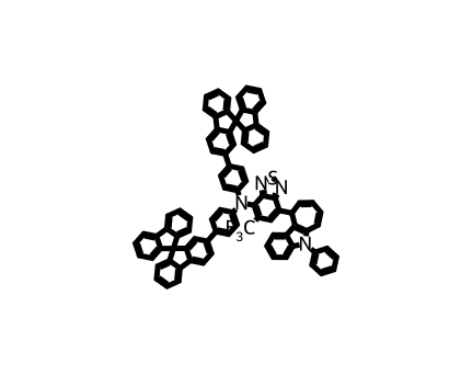 FC(F)(F)c1cc(C2C=CC=Cc3c2c2ccccc2n3-c2ccccc2)c2nsnc2c1N(c1ccc(-c2ccc3c(c2)C2(c4ccccc4-c4ccccc42)c2ccccc2-3)cc1)c1ccc(-c2ccc3c(c2)C2(c4ccccc4-c4ccccc42)c2ccccc2-3)cc1